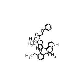 CCc1cccc(CC)c1-n1nc2c(c1-c1cccc3[nH]ccc13)CN(C(=O)COc1ccccc1)C2(C)C